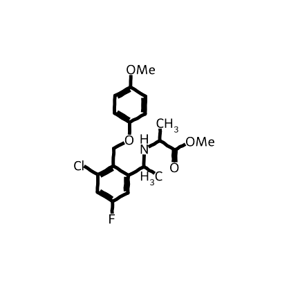 COC(=O)C(C)NC(C)c1cc(F)cc(Cl)c1COc1ccc(OC)cc1